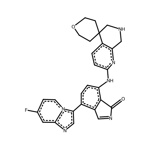 O=C1N=Cc2c(-c3cnc4cc(F)ccn34)ccc(Nc3ccc4c(n3)CNCC43CCOCC3)c21